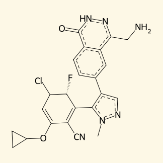 Cn1ncc(-c2ccc3c(=O)[nH]nc(CN)c3c2)c1C1=C(C#N)C(OC2CC2)=CC(Cl)[C@@H]1F